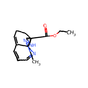 CCOC(=O)C1=C2CCC=C3C=CC=NC32N(C)N1